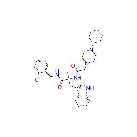 CC(Cc1c[nH]c2ccccc12)(NC(=O)CN1CCN(C2CCCCC2)CC1)C(=O)NCc1ccccc1Cl